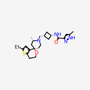 CCc1cc2c(s1)CCO[C@@]21CCN(C[C@H]2C[C@@H](NC(=O)c3cc(C)[nH]n3)C2)[C@@H](C)C1